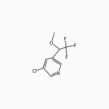 FC(F)(F)C(OI)c1cncc(Cl)c1